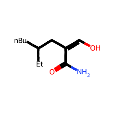 CCCCC(CC)CC(=CO)C(N)=O